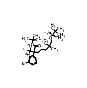 [2H]C([2H])([2H])C(CCCC(C)(C)CO[Si](C)(C)C(C)(C)C)(C(=O)OC(C)(C)C)c1cccc(Br)c1